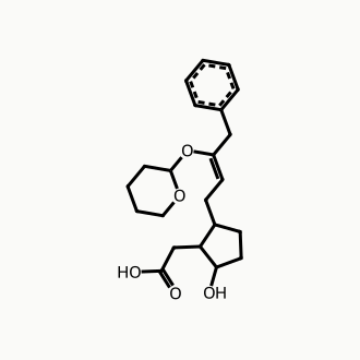 O=C(O)CC1C(O)CCC1C/C=C(/Cc1ccccc1)OC1CCCCO1